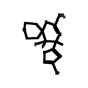 CC1(c2cc(Br)cs2)N=C(N)SC2(CCOCC2)C1(F)F